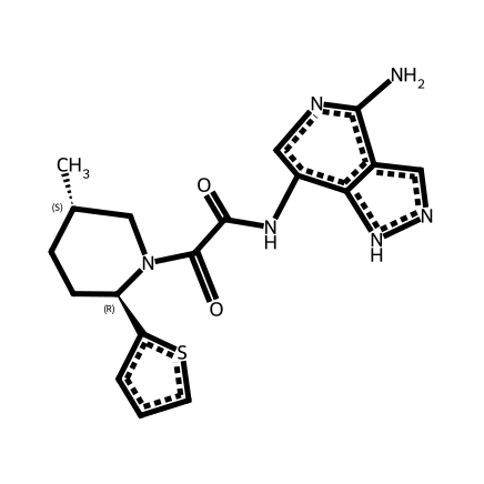 C[C@H]1CC[C@H](c2cccs2)N(C(=O)C(=O)Nc2cnc(N)c3cn[nH]c23)C1